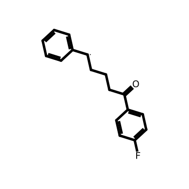 O=C(CCC[CH]c1ccccc1)c1ccc(F)cc1